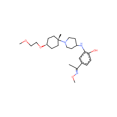 COCCO[C@H]1CC[C@](C)(N2CCC(Nc3cc(C(C)=NOC)ccc3O)CC2)CC1